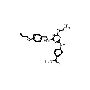 C=CCOc1ccc(CNc2nc(Nc3ccc(C(N)=O)cc3)nc(OCC(F)(F)F)n2)cc1